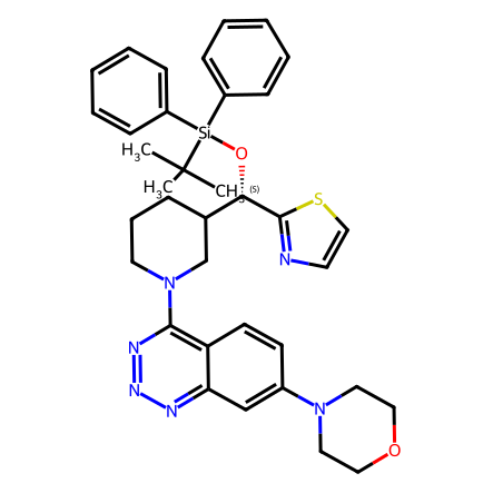 CC(C)(C)[Si](O[C@H](c1nccs1)C1CCCN(c2nnnc3cc(N4CCOCC4)ccc23)C1)(c1ccccc1)c1ccccc1